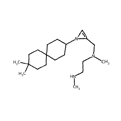 CNCCN(C)CC1=CN1C1CCC2(CC1)CCC(C)(C)CC2